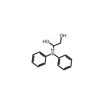 OCC(O)[SiH](c1ccccc1)c1ccccc1